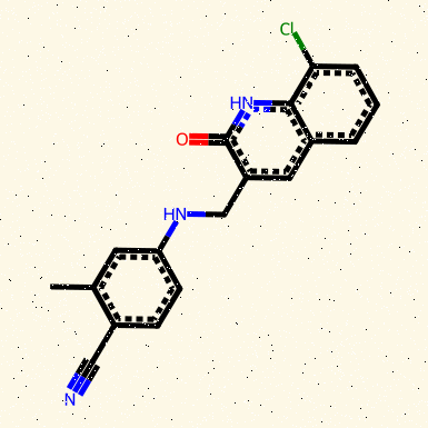 Cc1cc(NCc2cc3cccc(Cl)c3[nH]c2=O)ccc1C#N